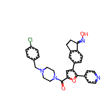 O=C(c1cc(-c2ccc3c(c2)CCC3=NO)c(-c2ccncc2)o1)N1CCN(Cc2ccc(Cl)cc2)CC1